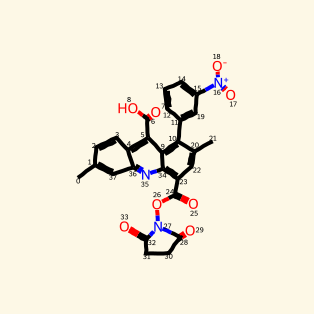 Cc1ccc2c(C(=O)O)c3c(-c4cccc([N+](=O)[O-])c4)c(C)cc(C(=O)ON4C(=O)CCC4=O)c3nc2c1